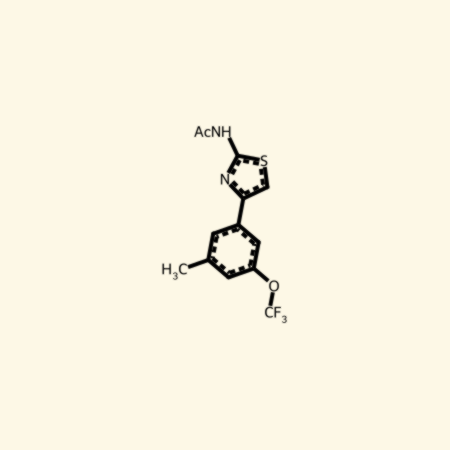 CC(=O)Nc1nc(-c2cc(C)cc(OC(F)(F)F)c2)cs1